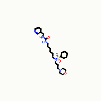 O=C(NCCCCCCN(CCCN1CCOCC1)S(=O)(=O)C1CCCCC1)NCc1cccnc1